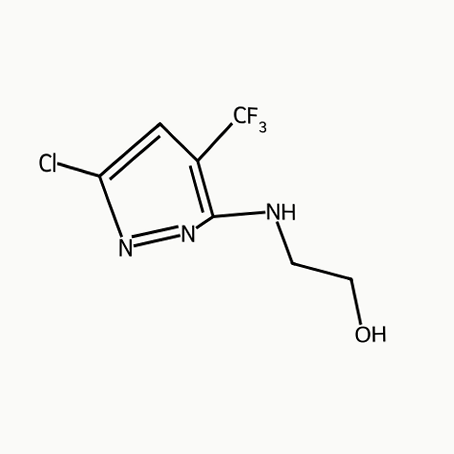 OCCNc1nnc(Cl)cc1C(F)(F)F